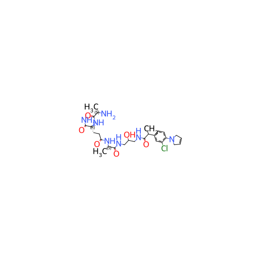 CC(C(=O)NCC(O)CNC(=O)[C@H](C)NC(=O)CC[C@@H](NC(=O)[C@H](C)N)C(N)=O)c1ccc(N2CC=CC2)c(Cl)c1